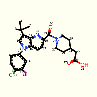 CC(C)(C)c1cn(-c2ccc(Cl)c(I)c2)c2ccc(C(=O)N3CCC(CC(=O)O)CC3)nc12